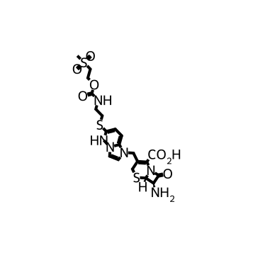 CS(=O)(=O)CCOC(=O)NCCSC1=CC=C2N(CC3=C(C(=O)O)N4C(=O)[C@@H](N)[C@@H]4SC3)C=CN2N1